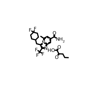 CCCC(=O)C(=O)O.Cc1cc(C(N)=O)cc2nc(C(F)(F)F)c(CC3CCC(F)(F)CC3)n12